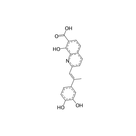 C/C(=C\c1ccc2ccc(C(=O)O)c(O)c2n1)c1ccc(O)c(O)c1